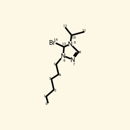 CCCCCCN1N=CN(C(C)C)C1Br